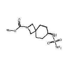 CC(C)(C)OC(=O)N1CC2(CCC(NS(N)(=O)=O)CC2)C1